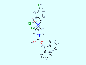 O=C(OCC1c2ccccc2-c2ccccc21)N1CC[C@H](N(Cc2ccc(F)cc2)C(=O)Cl)[C@H](F)C1